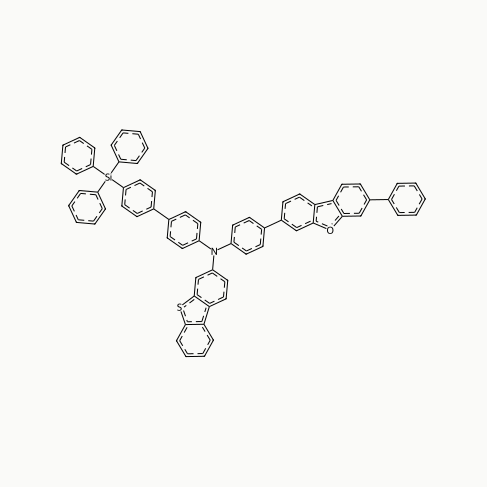 c1ccc(-c2ccc3c(c2)oc2cc(-c4ccc(N(c5ccc(-c6ccc([Si](c7ccccc7)(c7ccccc7)c7ccccc7)cc6)cc5)c5ccc6c(c5)sc5ccccc56)cc4)ccc23)cc1